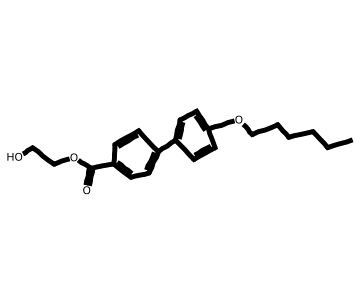 CCCCCCOc1ccc(-c2ccc(C(=O)OCCO)cc2)cc1